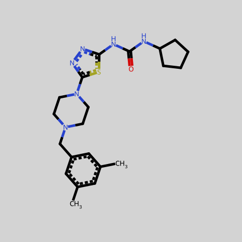 Cc1cc(C)cc(CN2CCN(c3nnc(NC(=O)NC4CCCC4)s3)CC2)c1